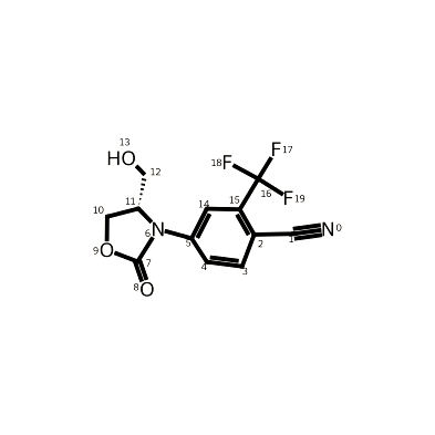 N#Cc1ccc(N2C(=O)OC[C@@H]2CO)cc1C(F)(F)F